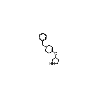 C1=C(OC2CCNC2)CCN(Cc2ccccc2)C1